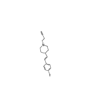 C#CCCN1CCC(/C=C/c2ccc(F)cc2)CC1